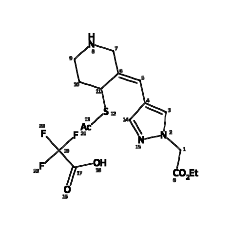 CCOC(=O)Cn1cc(C=C2CNCCC2SC(C)=O)cn1.O=C(O)C(F)(F)F